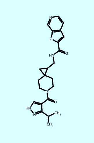 CC(C)c1n[nH]cc1C(=O)N1CCC2(CC1)CC2CNC(=O)c1cc2ccncc2o1